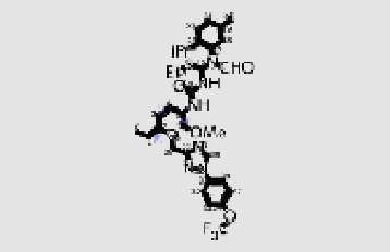 C\C=C(/C=C\C(=C\OC)NC(=O)NC(SCC)N(C=O)c1cc(C)ccc1C(C)C)OCc1ncn(-c2ccc(OC(F)(F)F)cc2)n1